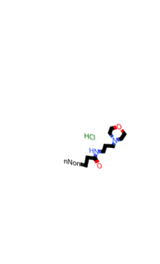 CCCCCCCCCCCC(=O)NCCCN1CCOCC1.Cl